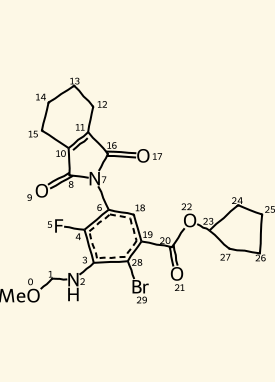 COCNc1c(F)c(N2C(=O)C3=C(CCCC3)C2=O)cc(C(=O)OC2CCCC2)c1Br